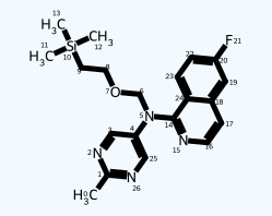 Cc1ncc(N(COCC[Si](C)(C)C)c2nccc3cc(F)ccc23)cn1